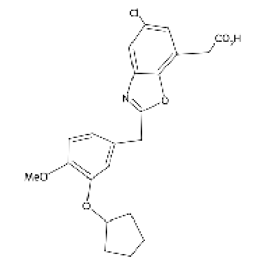 COc1ccc(Cc2nc3cc(Cl)cc(CC(=O)O)c3o2)cc1OC1CCCC1